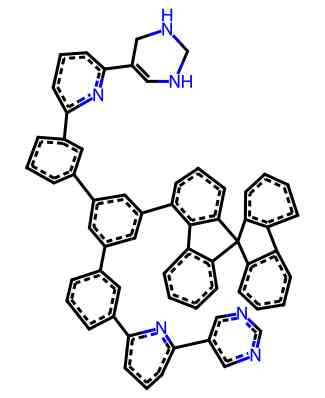 C1=C(c2cccc(-c3cccc(-c4cc(-c5cccc(-c6cccc(-c7cncnc7)n6)c5)cc(-c5cccc6c5-c5ccccc5C65c6ccccc6-c6ccccc65)c4)c3)n2)CNCN1